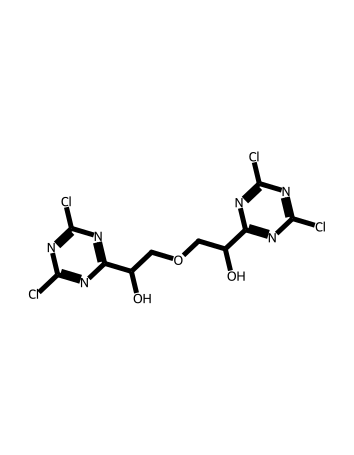 OC(COCC(O)c1nc(Cl)nc(Cl)n1)c1nc(Cl)nc(Cl)n1